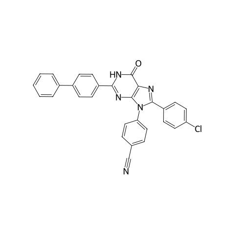 N#Cc1ccc(-n2c(-c3ccc(Cl)cc3)nc3c(=O)[nH]c(-c4ccc(-c5ccccc5)cc4)nc32)cc1